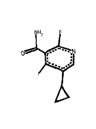 NC(=O)c1c(F)ncc(C2CC2)c1I